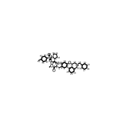 COC(=O)[C@H](Cc1ccc(OCCN(Cc2ccccc2)Cc2ccccc2)cc1)NC(=O)[C@@H]1CCCN1S(=O)(=O)c1ccc(C)cc1